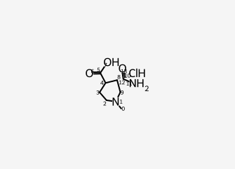 CN1CCC(C(=O)O)CC1.Cl.NC=O